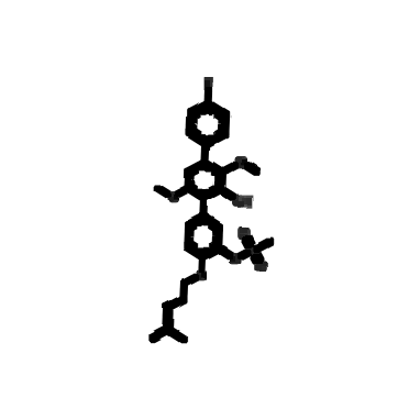 COc1cc(-c2ccc(F)cc2)c(OC)c(O)c1-c1ccc(OCCC=C(C)C)c(OS(C)(=O)=O)c1